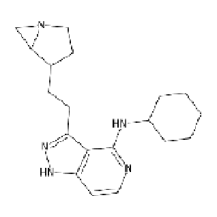 c1cc2[nH]nc(CCC3CCN4CC34)c2c(NC2CCCCC2)n1